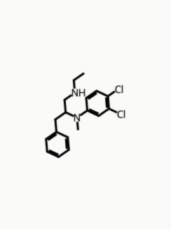 CCNCC(Cc1ccccc1)N(C)c1ccc(Cl)c(Cl)c1